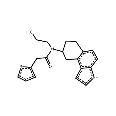 CCCN(C(=O)Cc1cccs1)C1CCc2ccc3[nH]ccc3c2C1